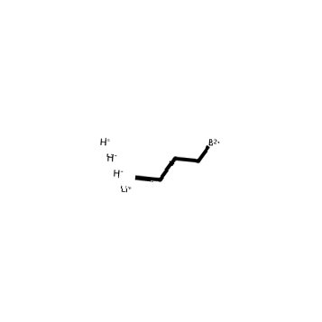 [B+2]CCCC.[H-].[H-].[H-].[Li+]